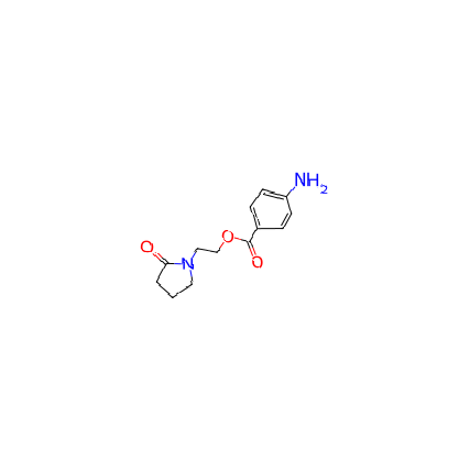 Nc1ccc(C(=O)OCCN2CCCC2=O)cc1